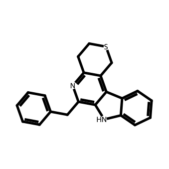 c1ccc(Cc2nc3c(c4c2[nH]c2ccccc24)CSCC3)cc1